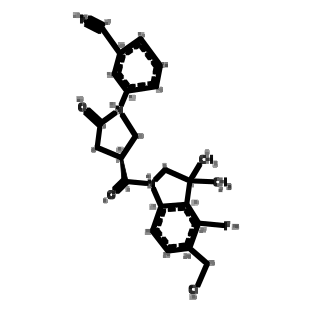 CC1(C)CN(C(=O)[C@H]2CC(=O)N(c3cccc(C#N)c3)C2)c2ccc(CCl)c(F)c21